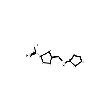 CC(=N)[C@H]1CCC(CNC2CCCC2)C1